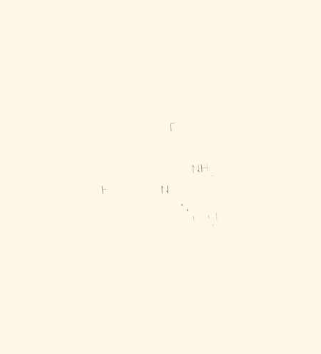 NC(=O)C1CN(C(=O)O)CCN1C(c1ccc(F)cc1)c1ccc(F)cc1